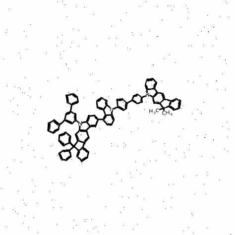 CC1(C)c2ccccc2-c2cc3c4ccccc4n(-c4ccc(-c5ccc(-n6c7ccccc7c7c(-c8ccc9c(c8)c8cc%10c(cc8n9-c8cc(-c9ccccc9)cc(-c9ccccc9)c8)C(c8ccccc8)(c8ccccc8)c8ccccc8-%10)cccc76)cc5)cc4)c3cc21